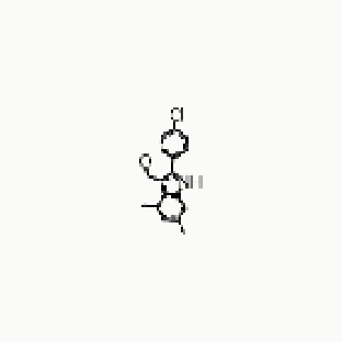 Cc1cc(C)c2c(C=O)c(-c3ccc(Cl)cc3)[nH]c2c1